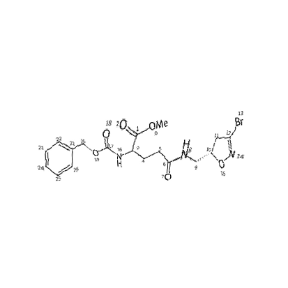 COC(=O)C(CCC(=O)NC[C@@H]1CC(Br)=NO1)NC(=O)OCc1ccccc1